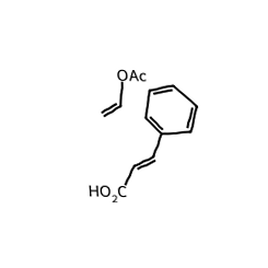 C=COC(C)=O.O=C(O)C=Cc1ccccc1